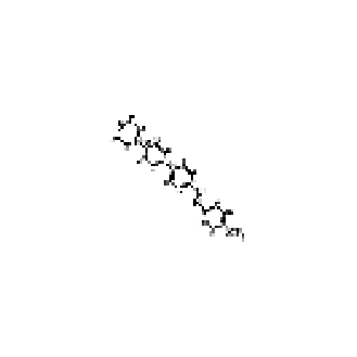 FC(F)(F)c1ccc(N=Nc2ccc(-c3ccc(N4CCSCC4)cc3)cc2)cc1